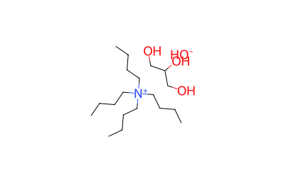 CCCC[N+](CCCC)(CCCC)CCCC.OCC(O)CO.[OH-]